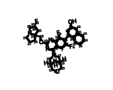 Oc1cc(-c2c(F)cc3c(N4C[C@H]5COC[C@@H](C4)N5)nc(OC[C@@]45CCCN4C[C@H](F)C5)nc3c2F)c2ccccc2c1